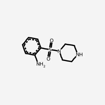 Nc1ccccc1S(=O)(=O)N1CCNCC1